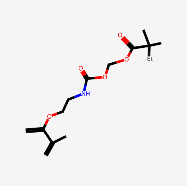 C=C(C)C(=C)OCCNC(=O)OCOC(=O)C(C)(C)CC